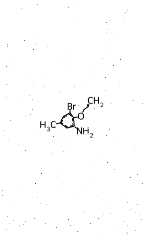 C=CCOc1c(N)cc(C)cc1Br